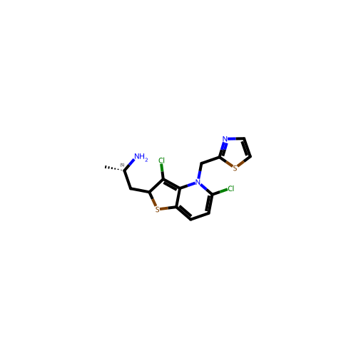 C[C@H](N)CC1SC2=CC=C(Cl)N(Cc3nccs3)C2=C1Cl